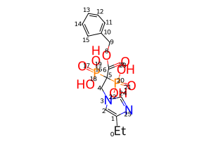 CCc1cn(CC(C(=O)OCc2ccccc2)(P(=O)(O)O)P(=O)(O)O)cn1